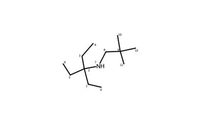 CCC(CC)(CC)NCC(C)(C)C